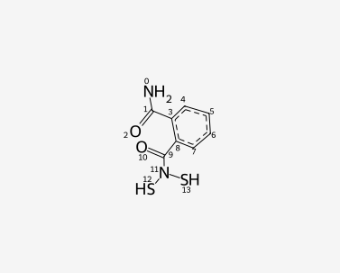 NC(=O)c1ccccc1C(=O)N(S)S